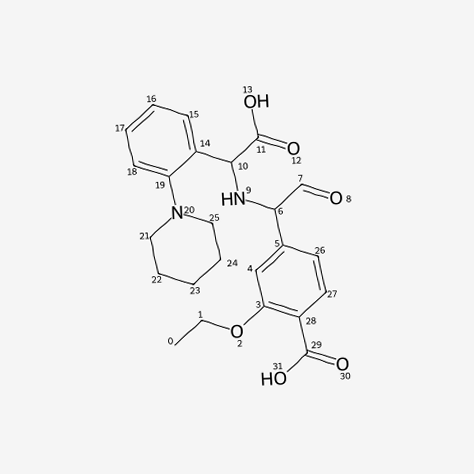 CCOc1cc(C(C=O)NC(C(=O)O)c2ccccc2N2CCCCC2)ccc1C(=O)O